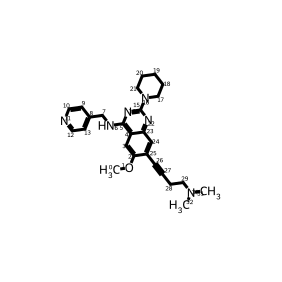 COc1cc2c(NCc3ccncc3)nc(N3CCCCC3)nc2cc1C#CCCN(C)C